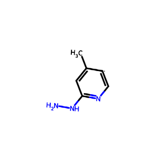 Cc1[c]cnc(NN)c1